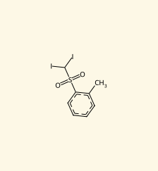 Cc1ccccc1S(=O)(=O)C(I)I